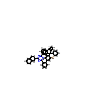 c1ccc(-c2nc(-c3ccc4ccccc4c3)nc(-c3ccccc3-c3ccc4c(c3)Sc3ccccc3C43c4ccccc4-c4ccccc43)n2)cc1